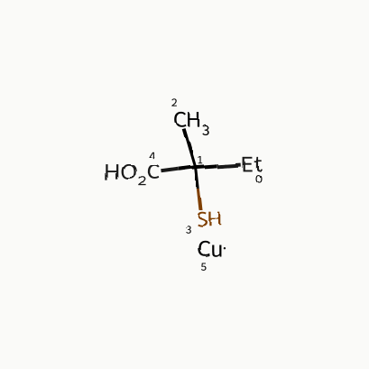 CCC(C)(S)C(=O)O.[Cu]